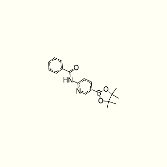 CC1(C)OB(c2ccc(NC(=O)c3ccccc3)nc2)OC1(C)C